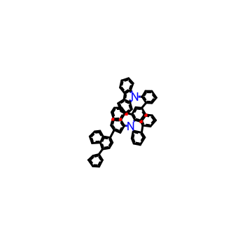 c1ccc(-c2ccccc2N(c2cccc(-c3ccc(-c4ccccc4)c4ccccc34)c2)c2ccc(-c3ccccc3-n3c4ccccc4c4ccccc43)cc2-c2ccccc2)cc1